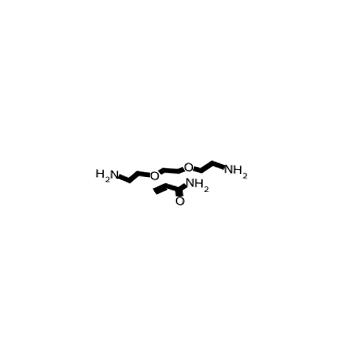 C=CC(N)=O.NCCOCCOCCN